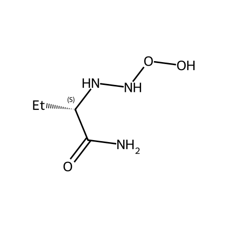 CC[C@H](NNOO)C(N)=O